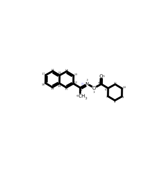 C/C(=N\OC(=O)C1CCCCC1)c1ccc2ccccc2c1